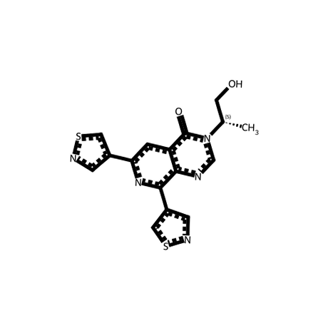 C[C@@H](CO)n1cnc2c(-c3cnsc3)nc(-c3cnsc3)cc2c1=O